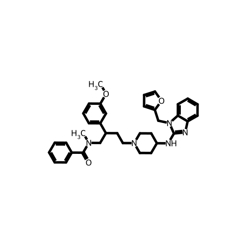 COc1cccc(C(CCN2CCC(Nc3nc4ccccc4n3Cc3ccco3)CC2)CN(C)C(=O)c2ccccc2)c1